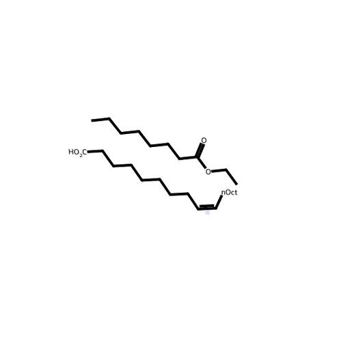 CCCCCCCC(=O)OCC.CCCCCCCC/C=C\CCCCCCCC(=O)O